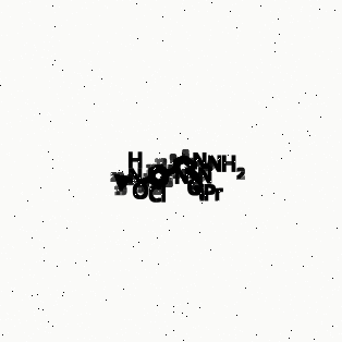 CC(C)Oc1nc(N)nc2ccc(-c3ccc(C(=O)NC4CC4)c(Cl)c3)nc12